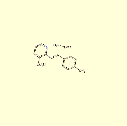 CCOC(=O)c1cccnc1C=Cc1ccc(C)cc1.CNC